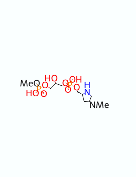 CN[C@@H]1CN[C@H](COP(=O)(O)OCC(O)COP(=O)(O)OC)C1